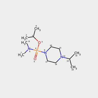 CC(C)OP(=O)(N(C)C)N1CCN(C(C)C)CC1